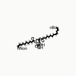 CCCC/C=C\C/C=C\CCCCCCCC(=O)O[C@H](COC(=O)CCCCCCC/C=C\CCCCCCCCC)COP(=O)(O)O